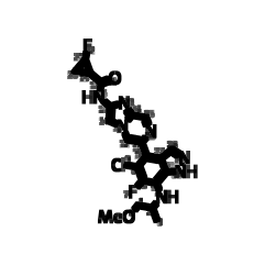 COCC(C)Nc1c(F)c(Cl)c(-c2cn3cc(NC(=O)C4CC4F)nc3cn2)c2cn[nH]c12